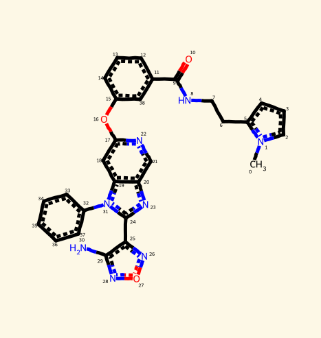 Cn1cccc1CCNC(=O)c1cccc(Oc2cc3c(cn2)nc(-c2nonc2N)n3-c2ccccc2)c1